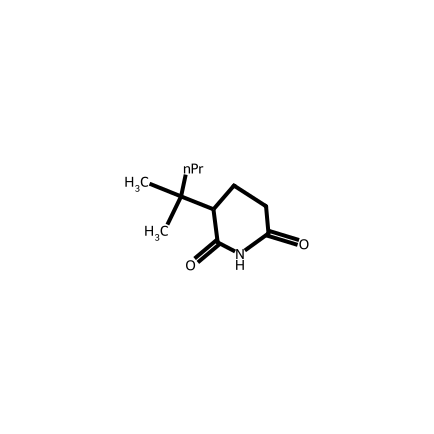 CCCC(C)(C)C1CCC(=O)NC1=O